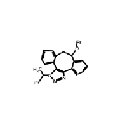 CC(C)OC1Cc2ccccc2-c2c(nnn2C(C)C(C)C)-c2ccccc21